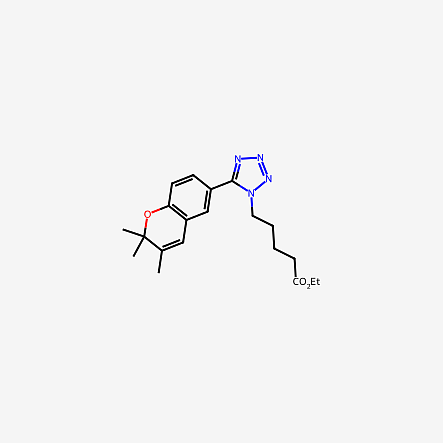 CCOC(=O)CCCCn1nnnc1-c1ccc2c(c1)C=C(C)C(C)(C)O2